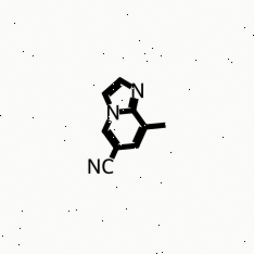 Cc1cc(C#N)cn2ccnc12